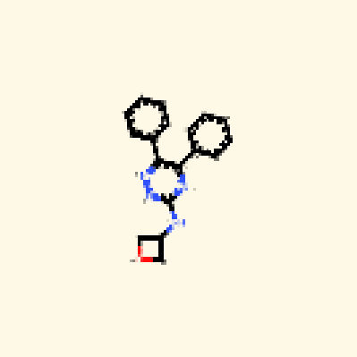 c1ccc(-c2nnc(NC3COC3)nc2-c2ccccc2)cc1